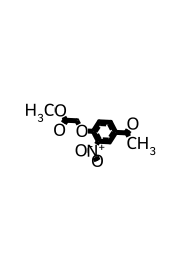 COC(=O)COc1ccc(C(C)=O)cc1[N+](=O)[O-]